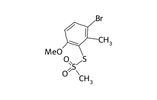 COc1ccc(Br)c(C)c1SS(C)(=O)=O